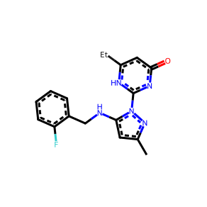 CCc1cc(=O)nc(-n2nc(C)cc2NCc2ccccc2F)[nH]1